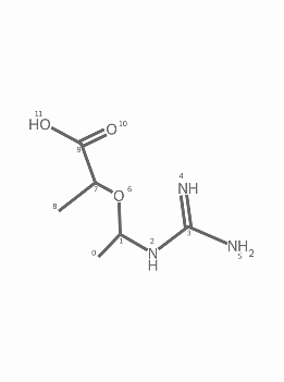 CC(NC(=N)N)OC(C)C(=O)O